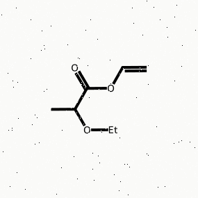 C=COC(=O)C(C)OCC